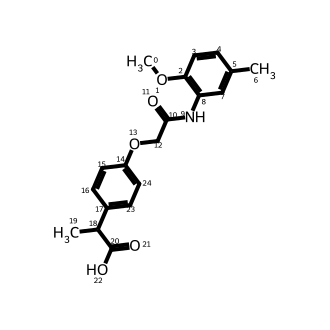 COc1ccc(C)cc1NC(=O)COc1ccc(C(C)C(=O)O)cc1